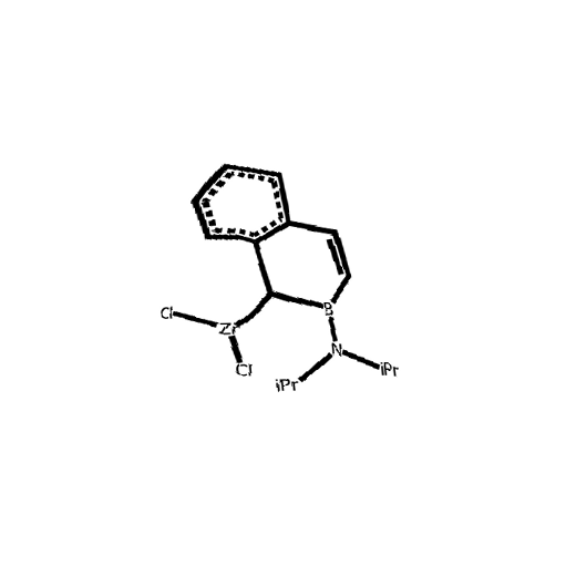 CC(C)N(B1C=Cc2ccccc2[CH]1[Zr]([Cl])[Cl])C(C)C